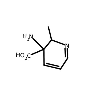 CC1N=CC=CC1(N)C(=O)O